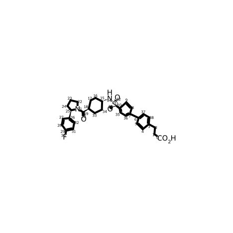 O=C(O)CCc1ccc(-c2ccc(S(=O)(=O)N[C@H]3CC[C@H](C(=O)N4CCC[C@@H]4c4ccc(F)cc4)CC3)cc2)cc1